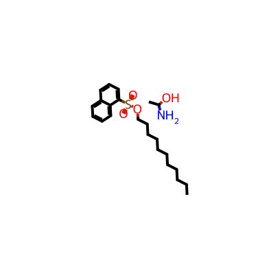 CC(N)O.CCCCCCCCCCCOS(=O)(=O)c1cccc2ccccc12